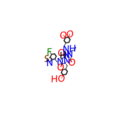 C=CCN1CC(=O)N2[C@@H](Cc3ccc(O)cc3)C(=O)N(Cc3ccc(F)c4scnc34)C[C@@H]2N1C(=O)NCc1ccc(OC)c(OC)c1